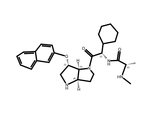 CN[C@@H](C)C(=O)N[C@H](C(=O)N1CC[C@H]2NC[C@H](Oc3ccc4ccccc4c3)[C@H]21)C1CCCCC1